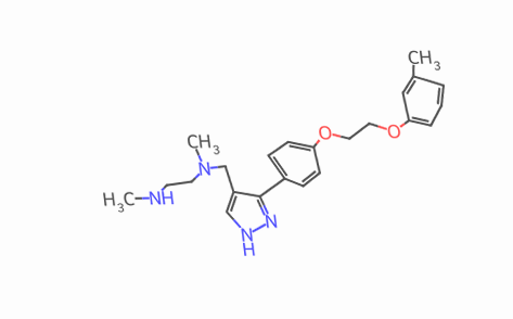 CNCCN(C)Cc1c[nH]nc1-c1ccc(OCCOc2cccc(C)c2)cc1